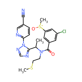 CSCCN(C(=O)c1cc(Cl)cc([S+](C)[O-])c1)C(C)c1ncnn1-c1ccc(C#N)cn1